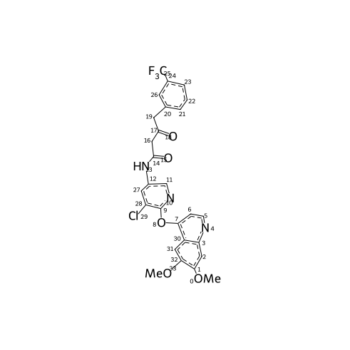 COc1cc2nccc(Oc3ncc(NC(=O)CC(=O)Cc4cccc(C(F)(F)F)c4)cc3Cl)c2cc1OC